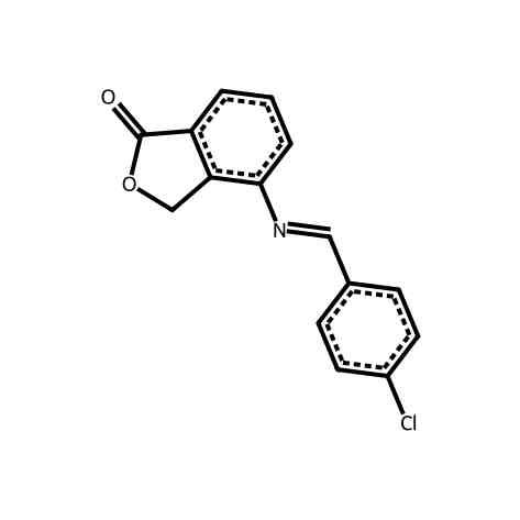 O=C1OCc2c(N=Cc3ccc(Cl)cc3)cccc21